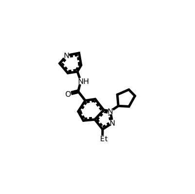 CCc1nn(C2CCCC2)c2cc(C(=O)Nc3ccncc3)ccc12